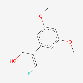 COc1cc(OC)cc(C(=CF)CO)c1